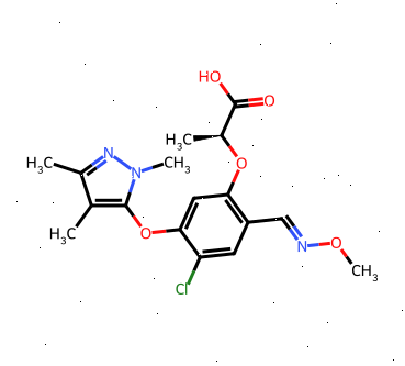 CON=Cc1cc(Cl)c(Oc2c(C)c(C)nn2C)cc1O[C@@H](C)C(=O)O